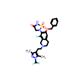 Cc1nn(C(F)F)c(C)c1CCN1CCc2cc(OCc3ccccc3)c(N3CC(=O)NS3(=O)=O)c(F)c2C1